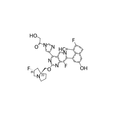 C#Cc1c(F)ccc2cc(O)cc(-c3ncc4c(-c5cn(C(=O)CO)cn5)nc(OC[C@@]56CCCN5C[C@H](F)C6)nc4c3F)c12